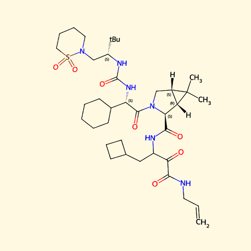 C=CCNC(=O)C(=O)C(CC1CCC1)NC(=O)[C@@H]1[C@@H]2[C@H](CN1C(=O)[C@@H](NC(=O)N[C@H](CN1CCCCS1(=O)=O)C(C)(C)C)C1CCCCC1)C2(C)C